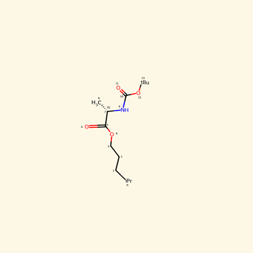 CC(C)CCCOC(=O)[C@H](C)NC(=O)OC(C)(C)C